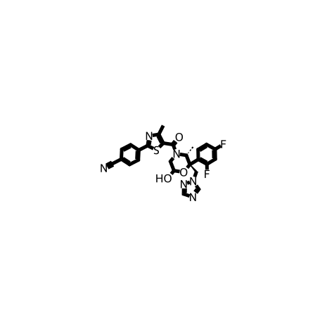 Cc1nc(-c2ccc(C#N)cc2)sc1C(=O)N1CC(O)O[C@@](Cn2cncn2)(c2ccc(F)cc2F)[C@H]1C